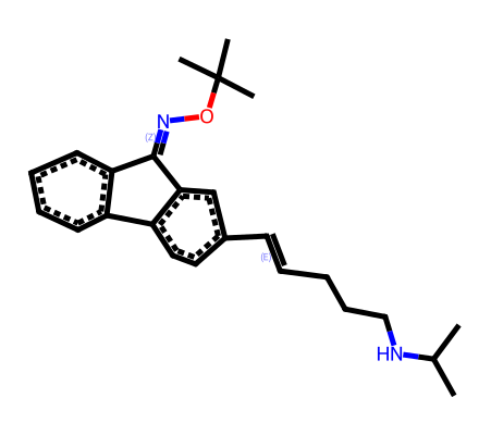 CC(C)NCCC/C=C/c1ccc2c(c1)/C(=N\OC(C)(C)C)c1ccccc1-2